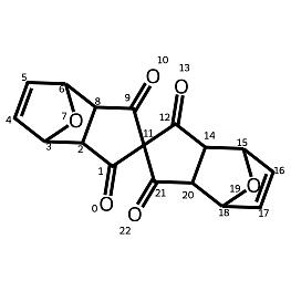 O=C1C2C3C=CC(O3)C2C(=O)C12C(=O)C1C3C=CC(O3)C1C2=O